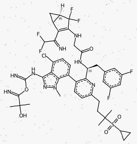 Cn1nc(NC(=N)OC(=N)C(C)(C)O)c2c(Cl)ccc(-c3ccc(CCC(C)(C)S(=O)(=O)C4CC4)nc3[C@H](Cc3cc(F)cc(F)c3)NC(=O)CNC3=C(C(=N)C(F)F)C4C[C@H]4C3(F)F)c21